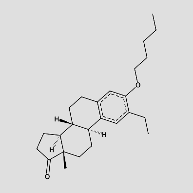 CCCCCOc1cc2c(cc1CC)[C@H]1CC[C@]3(C)C(=O)CC[C@H]3[C@@H]1CC2